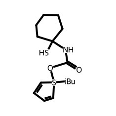 CCC(C)S1(OC(=O)NC2(S)CCCCC2)C=CC=C1